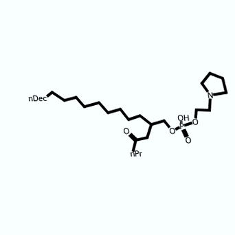 CCCCCCCCCCCCCCCCCCCC(COP(=O)(O)OCCN1CCCC1)CC(=O)CCC